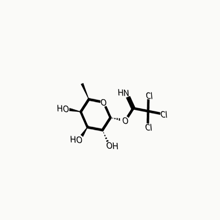 C[C@H]1O[C@H](OC(=N)C(Cl)(Cl)Cl)[C@H](O)[C@@H](O)[C@H]1O